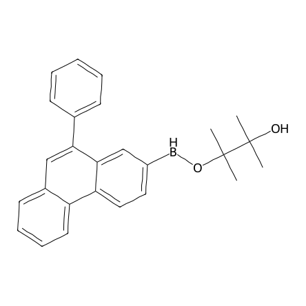 CC(C)(O)C(C)(C)OBc1ccc2c(c1)c(-c1ccccc1)cc1ccccc12